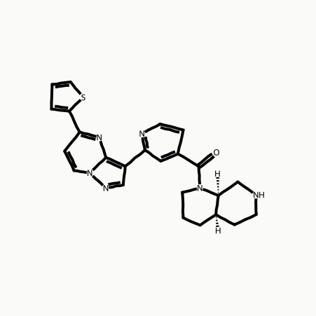 O=C(c1ccnc(-c2cnn3ccc(-c4cccs4)nc23)c1)N1CCC[C@@H]2CCNC[C@@H]21